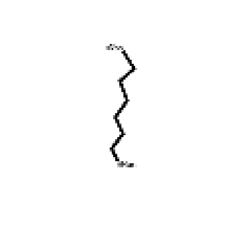 [CH]CCCCCCCCCCCCCCCCCCCCCCC